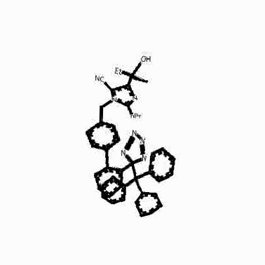 CCCc1nc(C(C)(O)CC)c(C#N)n1Cc1ccc(-c2ccccc2C2(C(c3ccccc3)(c3ccccc3)c3ccccc3)N=NN=N2)cc1